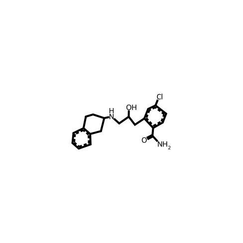 NC(=O)c1ccc(Cl)cc1CC(O)CNC1CCc2ccccc2C1